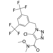 CON(C)C(=O)c1nnn(Cc2cc(C(F)(F)F)cc(C(F)(F)F)c2)c1Cl